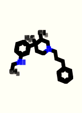 CCNc1cccc(C2(C)CCN(CCCc3ccccc3)CC2C)c1